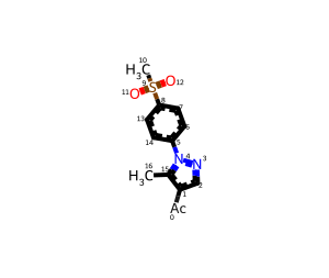 CC(=O)c1cnn(-c2ccc(S(C)(=O)=O)cc2)c1C